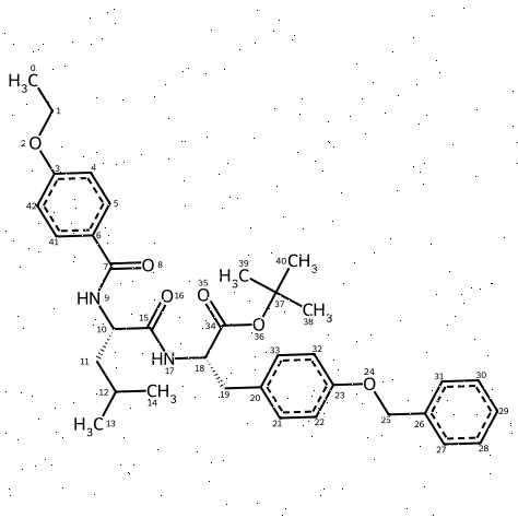 CCOc1ccc(C(=O)N[C@@H](CC(C)C)C(=O)N[C@@H](Cc2ccc(OCc3ccccc3)cc2)C(=O)OC(C)(C)C)cc1